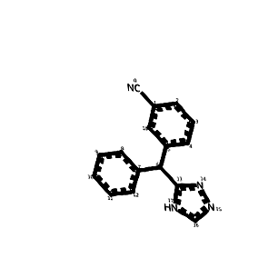 N#Cc1cccc(C(c2ccccc2)c2nnc[nH]2)c1